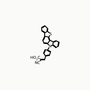 N#CC(=Cc1ccc(-n2c3ccccc3c3c4sc5ccccc5c4ccc32)cc1)C(=O)O